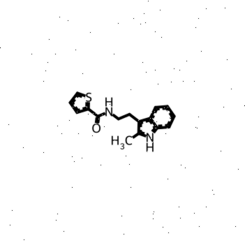 Cc1[nH]c2ccccc2c1CCNC(=O)c1cccs1